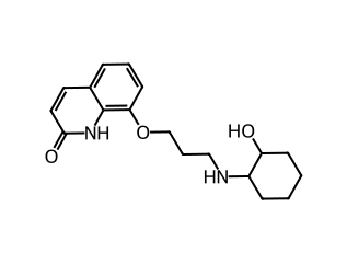 O=c1ccc2cccc(OCCCNC3CCCCC3O)c2[nH]1